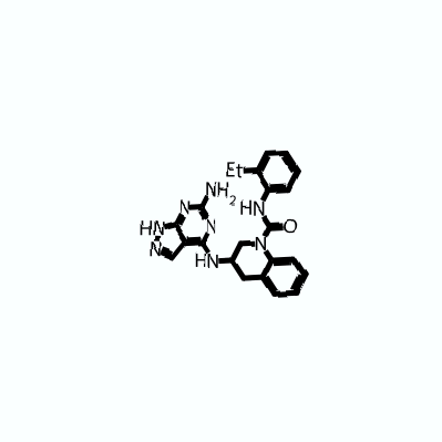 CCc1ccccc1NC(=O)N1CC(Nc2nc(N)nc3[nH]ncc23)Cc2ccccc21